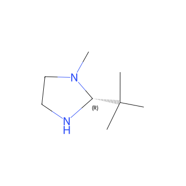 CN1CCN[C@H]1C(C)(C)C